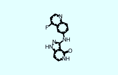 O=c1[nH]ccc2[nH]nc(Nc3ccc4nccc(F)c4c3)c12